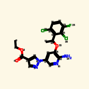 CCOC(=O)c1cnn(-c2cnc(N)c(OC(C)c3c(Cl)ccc(F)c3Cl)c2)c1